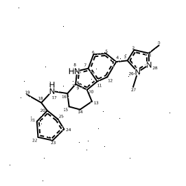 Cc1cc(-c2ccc3[nH]c4c(c3c2)CCCC4NC(C)c2ccccc2)n(C)n1